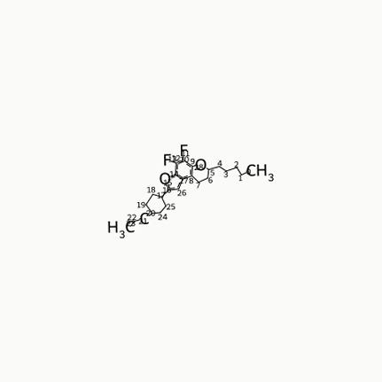 CCCCCC1CCc2c(c(F)c(F)c3oc(C4CCC(CCC)CC4)cc23)O1